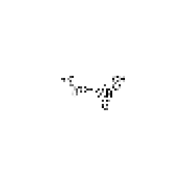 CC=CC(=O)CCC(=O)N1CCC(C#Cc2cc3nc(-c4cccc(O)c4)nc(N4CCOCC4)c3s2)CC1